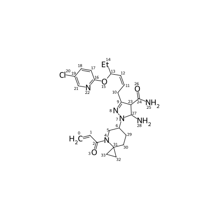 C=CC(=O)N1CC(N2N=C(C/C=C\C(CC)Oc3ccc(Cl)cn3)C(C(N)=O)C2N)CCC12CC2